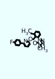 CCc1cccc(-n2nnn(C)c2=O)c1COc1cccc(-c2ccc(F)cc2)n1